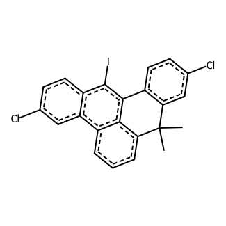 CC1(C)c2cc(Cl)ccc2-c2c(I)c3ccc(Cl)cc3c3cccc1c23